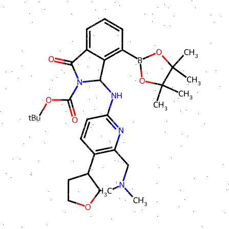 CN(C)Cc1nc(NC2c3c(B4OC(C)(C)C(C)(C)O4)cccc3C(=O)N2C(=O)OC(C)(C)C)ccc1C1CCOC1